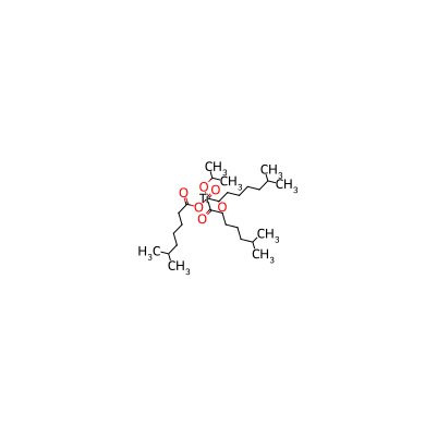 CC(C)CCCCC(=O)[O][Ti](=[O])([O]C(C)C)([C](=O)CCCCC(C)C)[C](=O)CCCCC(C)C